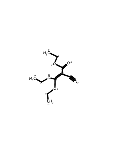 CCOC(=O)C(C#N)=C(OCC)OCC